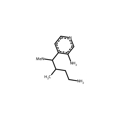 CNC(c1ccncc1N)C(C)CCN